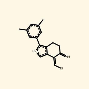 CC/C=C1\C(=N)CCc2c1c[nH]c2-c1cc(C)cc(C)c1